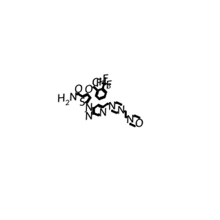 C[C@@H](Oc1cc(-n2cnc3cnc(CN4CCN(CCN5CCOCC5)CC4)cc32)sc1C(N)=O)c1ccccc1C(F)(F)F